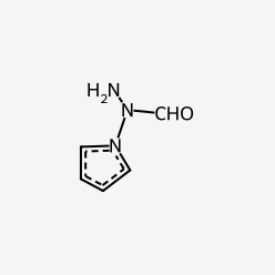 NN(C=O)n1cccc1